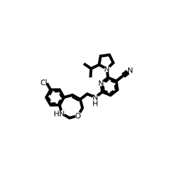 CC(C)C1CCCN1c1nc(NC/C2=C/c3cc(Cl)ccc3NCOC2)ccc1C#N